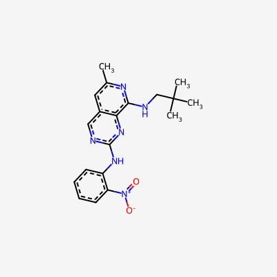 Cc1cc2cnc(Nc3ccccc3[N+](=O)[O-])nc2c(NCC(C)(C)C)n1